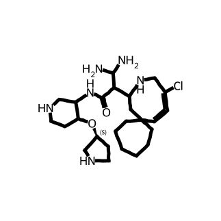 NC(N)C(C(=O)NC1CNCCC1O[C@H]1CCNC1)C1CC2(C=C=C(Cl)CN1)CCCCCC2